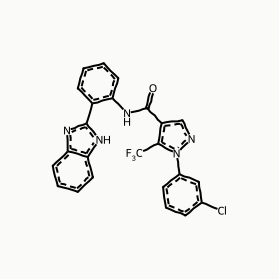 O=C(Nc1ccccc1-c1nc2ccccc2[nH]1)c1cnn(-c2cccc(Cl)c2)c1C(F)(F)F